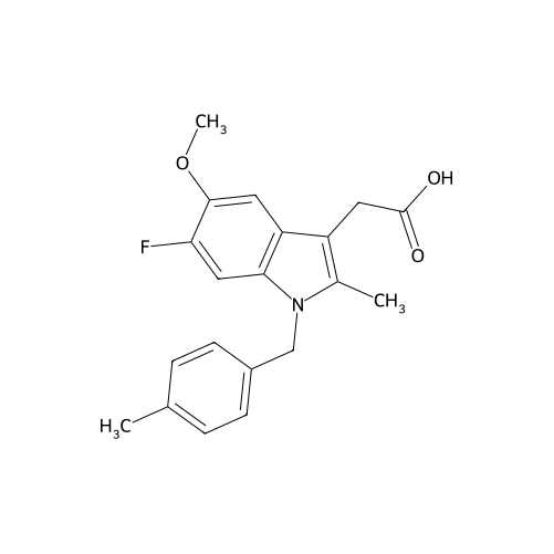 COc1cc2c(CC(=O)O)c(C)n(Cc3ccc(C)cc3)c2cc1F